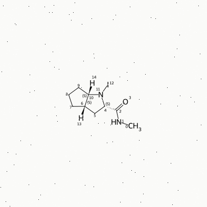 CNC(=O)[C@@H]1C[C@@H]2CCC[C@@H]2N1I